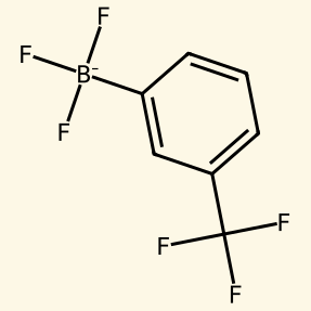 F[B-](F)(F)c1cccc(C(F)(F)F)c1